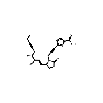 CCC#CC[C@H](C)[C@H](O)C=CC1CCC(=O)N1CC#Cc1ccc(C(=O)O)s1